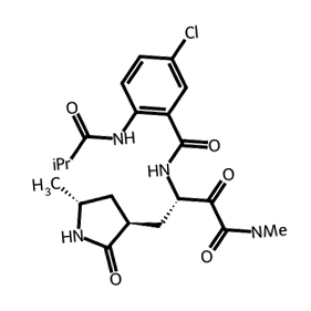 CNC(=O)C(=O)[C@H](C[C@@H]1C[C@@H](C)NC1=O)NC(=O)c1cc(Cl)ccc1NC(=O)C(C)C